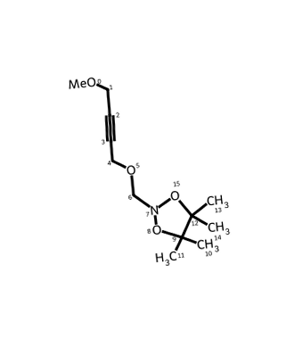 COCC#CCOCN1OC(C)(C)C(C)(C)O1